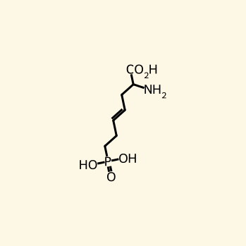 NC(CC=CCCP(=O)(O)O)C(=O)O